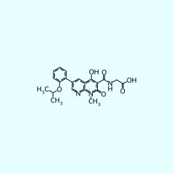 CC(C)Oc1ccccc1-c1cnc2c(c1)c(O)c(C(=O)NCC(=O)O)c(=O)n2C